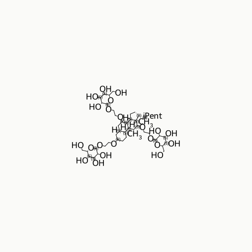 CCC[C@@H](C)[C@H]1CC[C@H]2[C@@H]3[C@H](OCCO[C@@H]4OC(CO)[C@@H](O)[C@H](O)C4O)C[C@@H]4C[C@H](OCCO[C@@H]5OC(CO)[C@@H](O)[C@H](O)C5O)CC[C@]4(C)[C@H]3C[C@H](OCCO[C@@H]3OC(CO)[C@@H](O)[C@H](O)C3O)[C@]12C